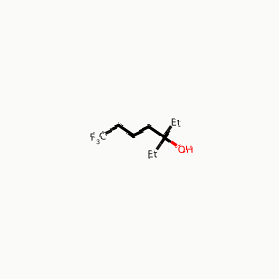 CCC(O)(CC)CCCC(F)(F)F